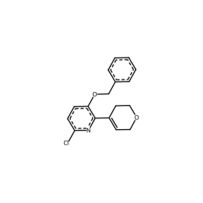 Clc1ccc(OCc2ccccc2)c(C2=CCOCC2)n1